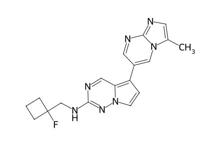 Cc1cnc2ncc(-c3ccn4nc(NCC5(F)CCC5)ncc34)cn12